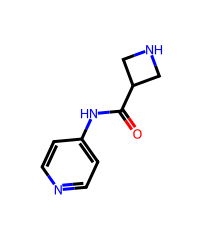 O=C(Nc1ccncc1)C1CNC1